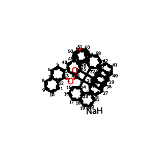 O=C(Oc1cccc2ccccc12)C(c1cccc2ccccc12)(c1cccc2ccccc12)C(c1cccc2ccccc12)(c1cccc2ccccc12)c1cccc2ccccc12.[NaH]